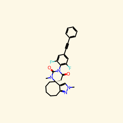 CN1C(=O)N(c2c(F)cc(C#Cc3ccccc3)cc2F)C(=O)C[C@]12CCCCCc1nn(C)cc12